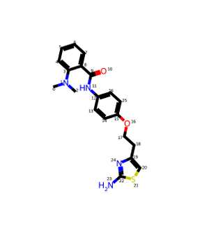 CN(C)c1ccccc1C(=O)Nc1ccc(OCCc2csc(N)n2)cc1